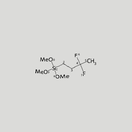 CO[Si](CCC(C)(F)F)(OC)OC